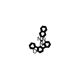 c1ccc2cc3c(cc2c1)nc1n3c2cccc3c4ccc5oc6ccccc6c5c4n1c32